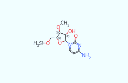 CO[C@@H]1[C@@H](CO[SiH3])OC(n2ccc(N)nc2=O)[C@@H]1O